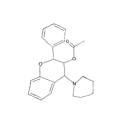 CC(=O)OC1C(c2ccccc2)Oc2ccccc2C1N1CCCCC1